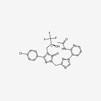 CC(=O)Nc1ncccc1-n1cnc(Cn2nc(-c3ccc(Cl)cc3)n(C[C@H](O)C(F)(F)F)c2=O)n1